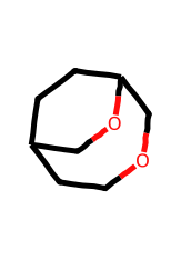 C1CC2CCC(CO1)OC2